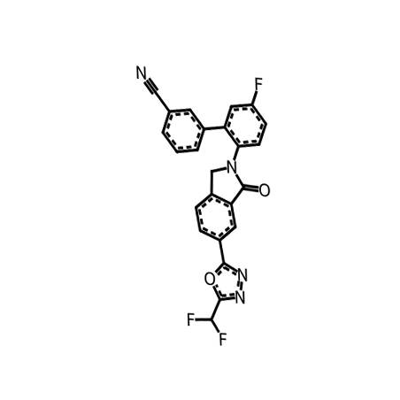 N#Cc1cccc(-c2cc(F)ccc2N2Cc3ccc(-c4nnc(C(F)F)o4)cc3C2=O)c1